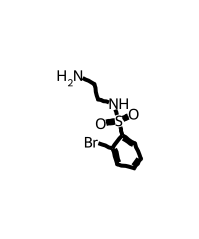 NCCNS(=O)(=O)c1ccccc1Br